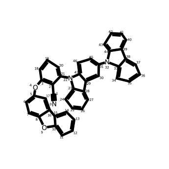 N#Cc1c(Oc2ccc3oc4ccccc4c3c2)cccc1-n1c2ccccc2c2cc(-n3c4ccccc4c4ccccc43)ccc21